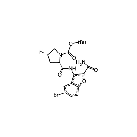 CC(C)(C)OC(=O)N1C[C@@H](F)C[C@H]1C(=O)Nc1c(C(N)=O)oc2ccc(Br)cc12